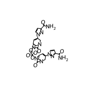 NC(=O)c1ccn(C2=CC3CN(C2)C(=O)N3OS(=O)(=O)ON2C(=O)N3CC(n4ccc(C(N)=O)n4)=CC2C3)n1